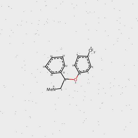 CNCC(Oc1ccc(C(F)(F)F)cc1)c1ccccc1